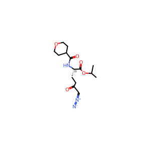 CC(C)OC(=O)[C@H](CCC(=O)C=[N+]=[N-])NC(=O)C1CCOCC1